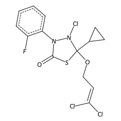 O=C1SC(OCC=C(Cl)Cl)(C2CC2)N(Cl)N1c1ccccc1F